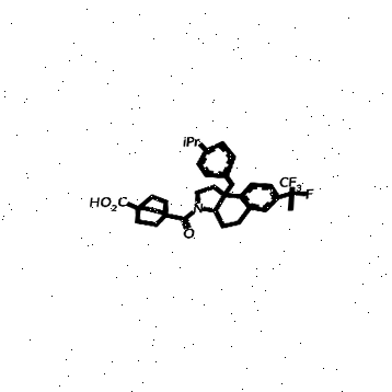 CC(C)c1ccc(CC23CCN(C(=O)C45CCC(C(=O)O)(CC4)CC5)C2CCc2cc(C(C)(F)C(F)(F)F)ccc23)cc1